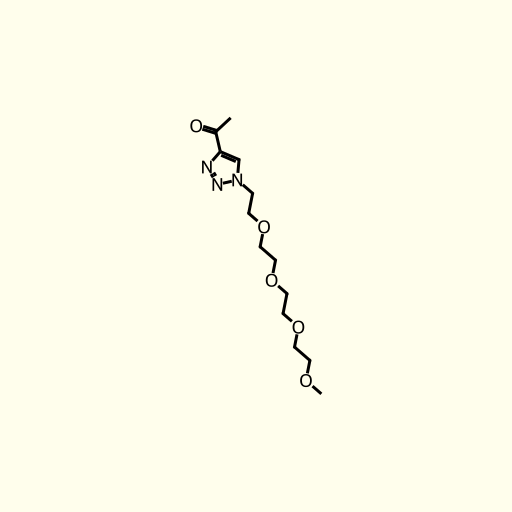 COCCOCCOCCOCCn1cc(C(C)=O)nn1